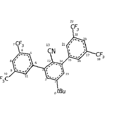 CC(C)(C)c1cc(-c2cc(C(F)(F)F)cc(C(F)(F)F)c2)c(C#N)c(-c2cc(C(F)(F)F)cc(C(F)(F)F)c2)c1